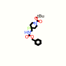 CC(C)(C)OC(=O)N1CCC(F)(CNC(=O)OCc2ccccc2)CC1